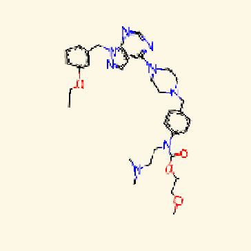 CCOc1cccc(Cn2ncc3c(N4CCN(Cc5ccc(N(CCN(C)C)C(=O)OCCOC)cc5)CC4)ncnc32)c1